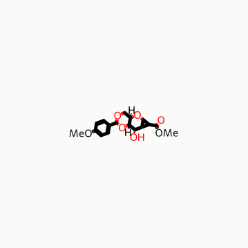 COC(=O)C1C2O[C@@H]3COC(c4ccc(OC)cc4)O[C@H]3[C@H](O)C21